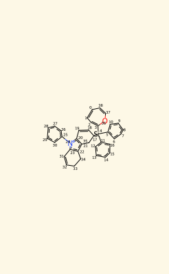 C1=CC=C([Si](c2ccccc2)(c2ccccc2)C2C=Cc3c(c4c(n3-c3ccccc3)C=CCC4)C2)OC=C1